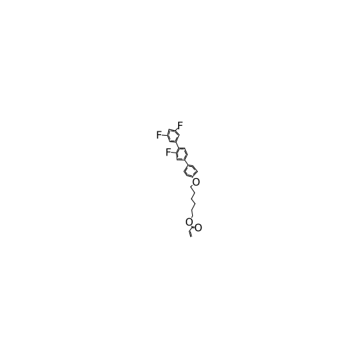 C=CC(=O)OCCCCCCOc1ccc(-c2ccc(-c3cc(F)cc(F)c3)c(F)c2)cc1